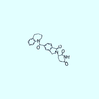 O=C1CCC(N2Cc3cc(C(=O)N4CCCCc5ccccc54)ccc3C2=O)C(=O)N1